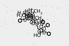 CC(C)CC(NC(=O)OC(C)(C)C)C(=O)NC(CC(=O)OCc1ccccc1)C(=O)NC(C(=O)NCCCC1OC(CO)C(OCc2ccccc2)C(OCc2ccccc2)C1OCc1ccccc1)C(C)C